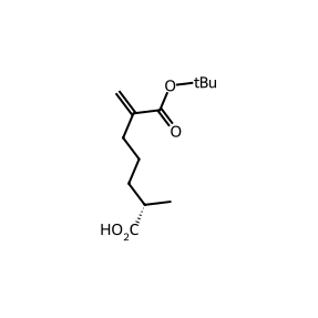 C=C(CCC[C@H](C)C(=O)O)C(=O)OC(C)(C)C